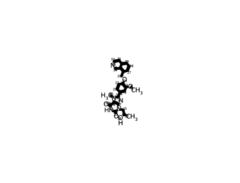 COc1cc(-c2nc3c(c(=O)[nH]c(=O)n3CC(C)O)n2C)ccc1OCc1cccc2ccncc12